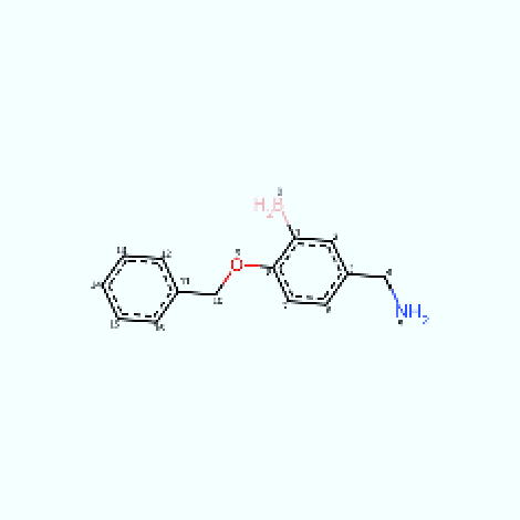 Bc1cc(CN)ccc1OCc1ccccc1